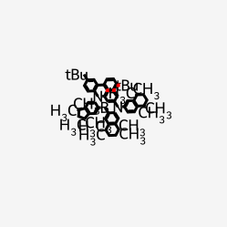 CC(C)(C)c1ccc(N2c3cc4c(cc3B3c5cc6c(cc5N(c5ccc7c(c5)C(C)(C)CCC7(C)C)c5cc(C(C)(C)C)cc2c53)C(C)(C)CCC6(C)C)C(C)(C)CC4(C)C)c(-c2ccccc2)c1